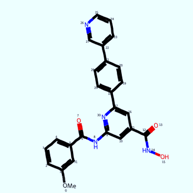 COc1cccc(C(=O)Nc2cc(C(=O)NO)cc(-c3ccc(-c4cccnc4)cc3)n2)c1